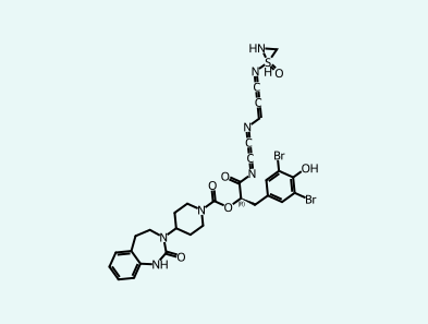 O=C(N=C=C=NC=C=C=N[SH]1(=O)CN1)[C@@H](Cc1cc(Br)c(O)c(Br)c1)OC(=O)N1CCC(N2CCc3ccccc3NC2=O)CC1